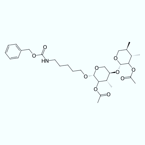 CC(=O)OC1[C@H](O[C@@H]2CO[C@@H](OCCCCCNC(=O)OCc3ccccc3)C(OC(C)=O)[C@H]2C)OC[C@@H](C)[C@@H]1C